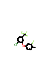 Cc1ccc(Oc2cc(C(F)(F)F)ccc2Cl)cc1F